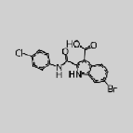 O=C(Nc1ccc(Cl)cc1)c1[nH]c2cc(Br)ccc2c1C(=O)O